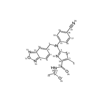 Cc1sc(N(Cc2ccc3nonc3c2)c2ccc(C#N)cc2)nc1C(=O)N[S+](C)[O-]